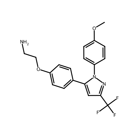 COc1ccc(-n2nc(C(F)(F)F)cc2-c2ccc(OCCN)cc2)cc1